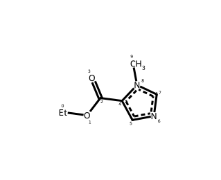 CCOC(=O)c1cn[c]n1C